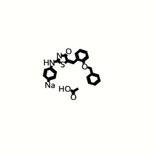 CC(=O)O.O=C1N=C(Nc2cc[c]([Na])cc2)S/C1=C/c1ccccc1OCc1ccccc1